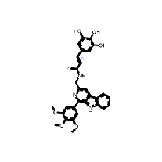 COc1cc(-c2nc(CNC(=O)/C=C/c3cc(O)c(O)c(O)c3)cc3c2[nH]c2ccccc23)cc(OC)c1OC